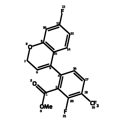 COC(=O)c1c(C2=CCOc3cc(F)ccc32)ccc(C(F)(F)F)c1F